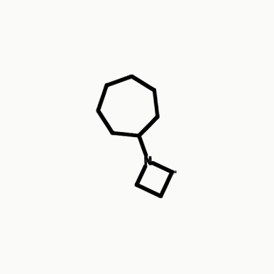 [CH]1CCN1C1CCCCCC1